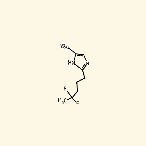 CC(F)(F)CCCc1ncc(C(C)(C)C)[nH]1